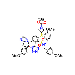 COc1ccc(CN(Cc2ccc(OC)cc2)S(=O)(=O)c2c(SC3CN(C(=O)OC(C)(C)C)C3)ccc(-c3cccc4nccn34)c2-c2nnnn2Cc2ccc(OC)cc2)cc1